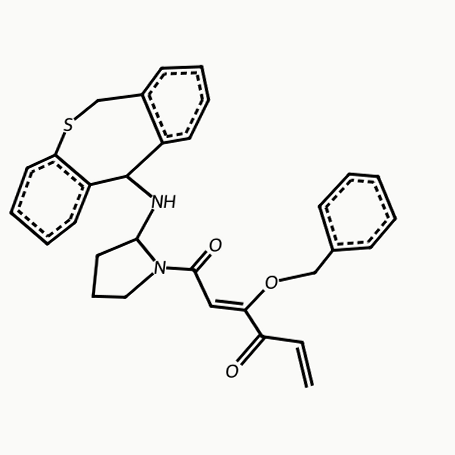 C=CC(=O)/C(=C/C(=O)N1CCCC1NC1c2ccccc2CSc2ccccc21)OCc1ccccc1